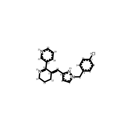 Clc1ccc(Cn2ccc(/C=C3\CCCN=C3c3cccnc3)n2)cc1